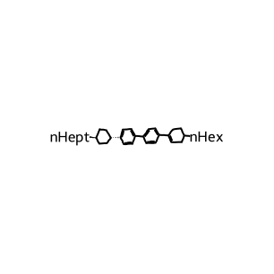 CCCCCCC[C@H]1CC[C@H](c2ccc(-c3ccc(C4=CCC(CCCCCC)CC4)cc3)cc2)CC1